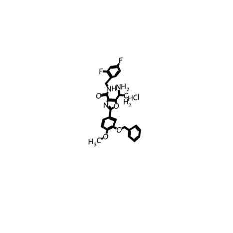 COc1ccc(-c2nc(C(=O)NCc3ccc(F)cc3F)c(C(C)N)o2)cc1OCc1ccccc1.Cl